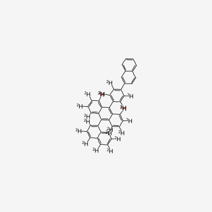 [2H]c1c([2H])c(-c2c3c([2H])c([2H])c([2H])c([2H])c3c(-c3c([2H])c([2H])c([2H])c4c([2H])c([2H])c([2H])c([2H])c34)c3c([2H])c([2H])c([2H])c([2H])c23)c([2H])c([2H])c1-c1ccc2ccccc2c1